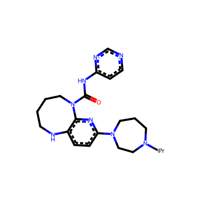 CC(C)N1CCCN(c2ccc3c(n2)N(C(=O)Nc2ccncn2)CCCCN3)CC1